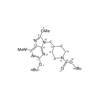 CCCCOc1nc(NC)c2nc(OC)n(CC3CCN(C(=O)OC(C)(C)C)CC3)c2n1